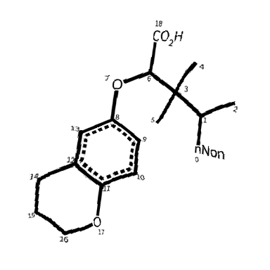 CCCCCCCCCC(C)C(C)(C)C(Oc1ccc2c(c1)CCCO2)C(=O)O